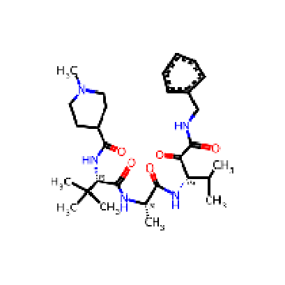 CC(C)[C@H](NC(=O)[C@H](C)NC(=O)[C@@H](NC(=O)C1CCN(C)CC1)C(C)(C)C)C(=O)C(=O)NCc1ccccc1